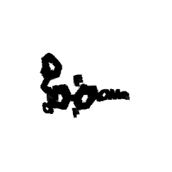 COc1cc(F)c([C@H]2CC(=O)N(Cc3ccccc3)C2)c(F)c1